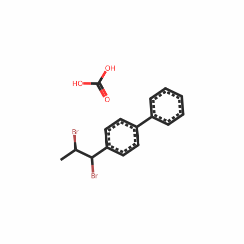 CC(Br)C(Br)c1ccc(-c2ccccc2)cc1.O=C(O)O